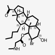 CCCC[C@H]1C[C@]2(C)[C@@H](C(C)=O)CC[C@H]2[C@@H]2CC[C@H]3C[C@H](O)[C@@H](Br)C(OC(=O)CNC)[C@]3(C)[C@@H]12